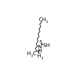 CCCCCCCCCCCC(CC(C)C)NC(=S)S